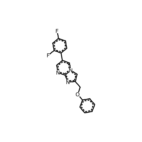 Fc1ccc(-c2cnc3nc(COc4ccccc4)cn3c2)c(F)c1